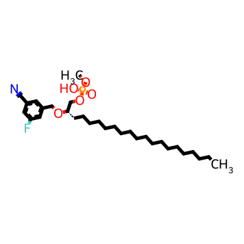 CCCCCCCCCCCCCCCCCCC[C@@H](COP(=O)(O)OC)OCc1cc(F)cc(C#N)c1